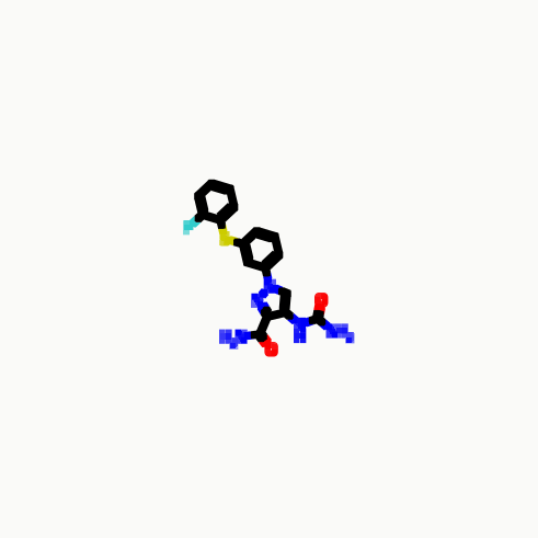 NC(=O)Nc1cn(-c2cccc(Sc3ccccc3F)c2)nc1C(N)=O